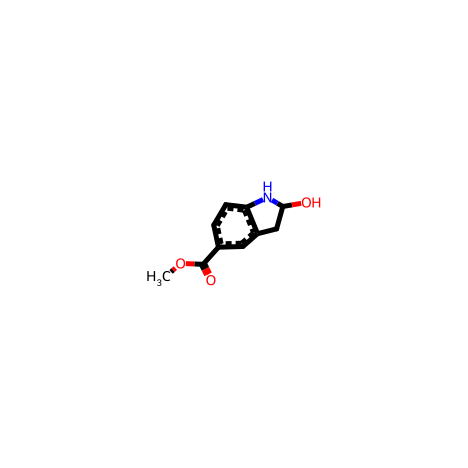 COC(=O)c1ccc2c(c1)CC(O)N2